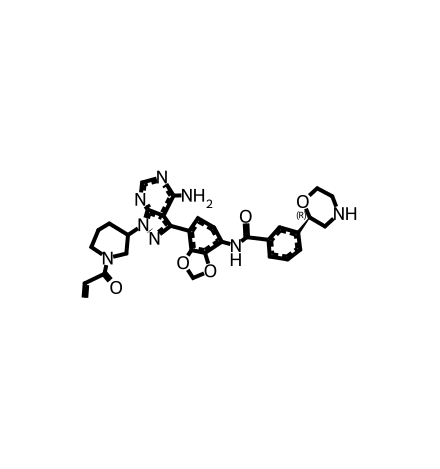 C=CC(=O)N1CCCC(n2nc(-c3ccc(NC(=O)c4cccc([C@@H]5CNCCO5)c4)c4c3OCO4)c3c(N)ncnc32)C1